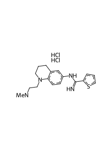 CNCCN1CCCc2cc(NC(=N)c3cccs3)ccc21.Cl.Cl